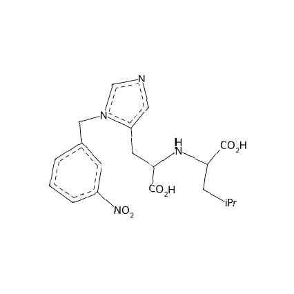 CC(C)CC(NC(Cc1cncn1Cc1cccc([N+](=O)[O-])c1)C(=O)O)C(=O)O